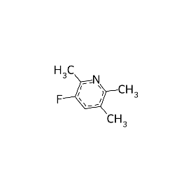 Cc1cc(F)c(C)nc1C